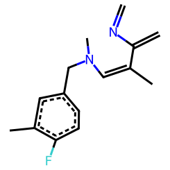 C=NC(=C)/C(C)=C\N(C)Cc1ccc(F)c(C)c1